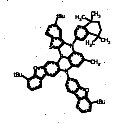 Cc1cc2c3c(c1)N(c1ccc4c(c1)C(C)(C)CCC4(C)C)c1c(sc4ccc(C(C)(C)C)cc14)B3c1cc3oc4c(C(C)(C)C)cccc4c3cc1N2c1ccc2c(c1)oc1c(C(C)(C)C)cccc12